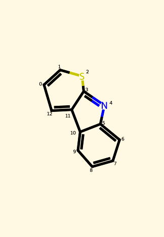 c1csc2nc3ccccc3c-2c1